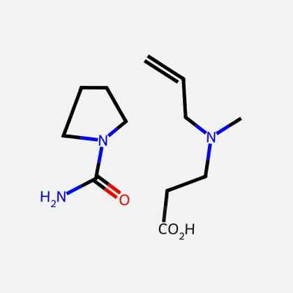 C=CCN(C)CCC(=O)O.NC(=O)N1CCCC1